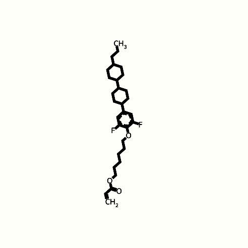 C=CC(=O)OCCCCCCOc1c(F)cc(C2CCC(C3CCC(CCC)CC3)CC2)cc1F